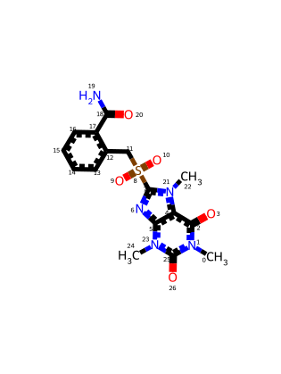 Cn1c(=O)c2c(nc(S(=O)(=O)Cc3ccccc3C(N)=O)n2C)n(C)c1=O